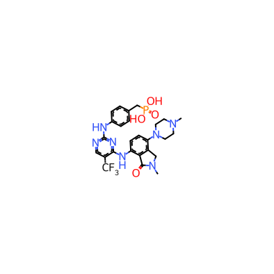 CN1CCN(c2ccc(Nc3nc(Nc4ccc(CP(=O)(O)O)cc4)ncc3C(F)(F)F)c3c2CN(C)C3=O)CC1